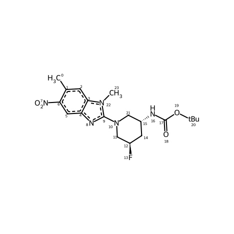 Cc1cc2c(cc1[N+](=O)[O-])nc(N1C[C@H](F)C[C@@H](NC(=O)OC(C)(C)C)C1)n2C